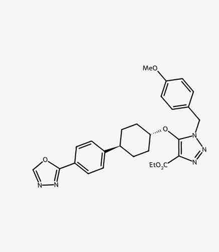 CCOC(=O)c1nnn(Cc2ccc(OC)cc2)c1O[C@H]1CC[C@H](c2ccc(-c3nnco3)cc2)CC1